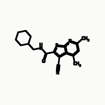 Cc1cc(C)c2c(C#N)c(C(=O)NCC3CCCCC3)sc2n1